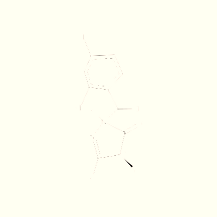 CC1=N[N+](C)(C(Cl)c2ccc(Cl)cc2Cl)C(=O)[C@H]1Cl